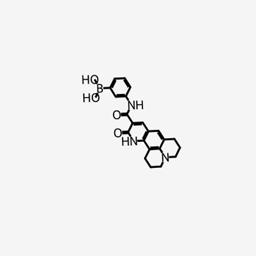 O=C(Nc1cccc(B(O)O)c1)c1cc2cc3c4c(c2[nH]c1=O)CCCN4CCC3